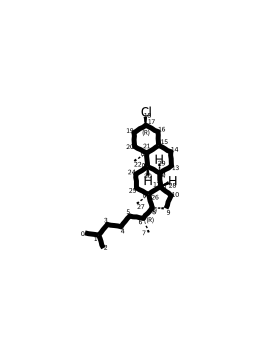 CC(C)CCC[C@@H](C)[C@H]1CC[C@H]2[C@@H]3CCC4C[C@H](Cl)CC[C@]4(C)[C@H]3CC[C@]12C